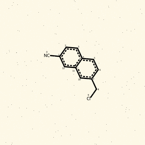 N#Cc1ccc2ccc(CCl)cc2c1